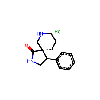 Cl.O=C1NC[C@H](c2ccccc2)[C@@]12CCCNC2